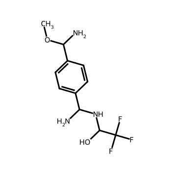 COC(N)c1ccc(C(N)NC(O)C(F)(F)F)cc1